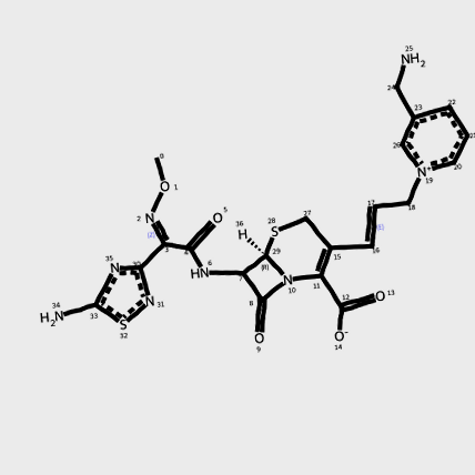 CO/N=C(\C(=O)NC1C(=O)N2C(C(=O)[O-])=C(/C=C/C[n+]3cccc(CN)c3)CS[C@H]12)c1nsc(N)n1